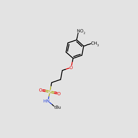 Cc1cc(OCCCS(=O)(=O)NC(C)(C)C)ccc1[N+](=O)[O-]